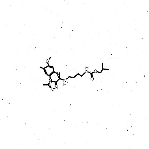 COc1cc2nc(NCCCCNC(=O)OCC(C)C)c3nnc(C)n3c2cc1C